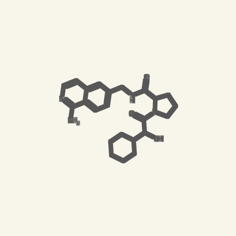 Nc1nccc2cc(CNC(=O)C3CCCN3C(=O)C(O)C3CCCCC3)ccc12